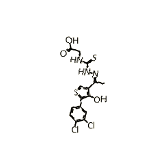 C/C(=N/NC(=S)NCC(=O)O)c1csc(-c2ccc(Cl)c(Cl)c2)c1O